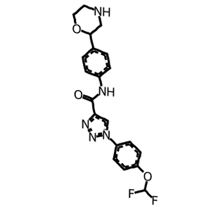 O=C(Nc1ccc(C2CNCCO2)cc1)c1cn(-c2ccc(OC(F)F)cc2)nn1